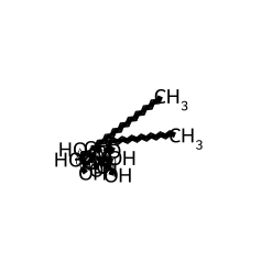 CCCCCCCCCCCCCCCCCC(=O)O[C@H]1[C@@H](O[C@]2(CO)O[C@H](CO)[C@@H](O)[C@@H]2OC(=O)CCCCCCCCCCCCCCC)O[C@H](CO)[C@@H](O)[C@@H]1O